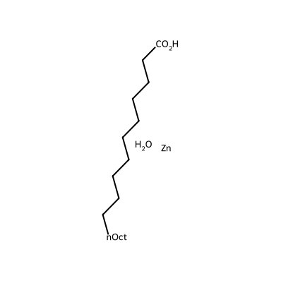 CCCCCCCCCCCCCCCCCC(=O)O.O.[Zn]